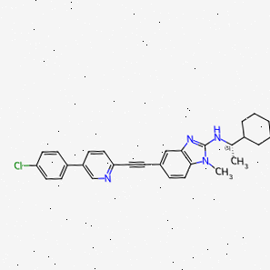 C[C@H](Nc1nc2cc(C#Cc3ccc(-c4ccc(Cl)cc4)cn3)ccc2n1C)C1CCCCC1